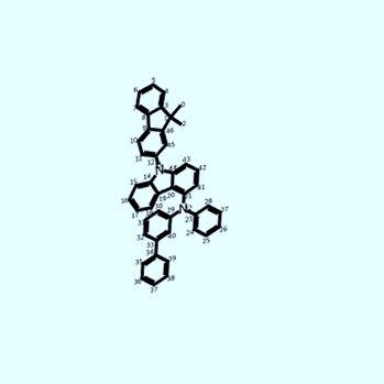 CC1(C)c2ccccc2-c2ccc(-n3c4ccccc4c4c(N(c5ccccc5)c5cccc(-c6ccccc6)c5)cccc43)cc21